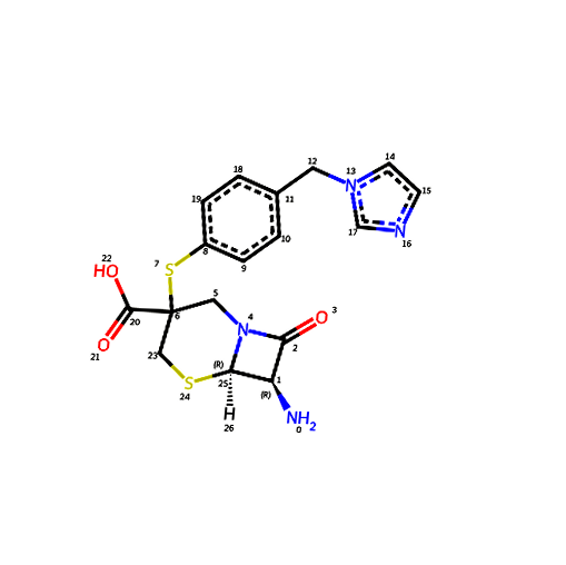 N[C@@H]1C(=O)N2CC(Sc3ccc(Cn4ccnc4)cc3)(C(=O)O)CS[C@H]12